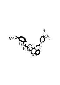 COc1cccc(NC(=O)NC2CSc3ccccc3N(CC(=O)N3CCC(C)(C)CC3)C2=O)c1